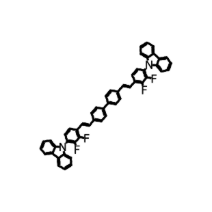 Fc1c(C=Cc2ccc(-c3ccc(C=Cc4ccc(-n5c6ccccc6c6ccccc65)c(F)c4F)cc3)cc2)ccc(-n2c3ccccc3c3ccccc32)c1F